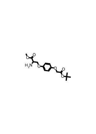 COC(=O)C(N)COc1ccc(OCC(=O)OC(C)(C)C)cc1